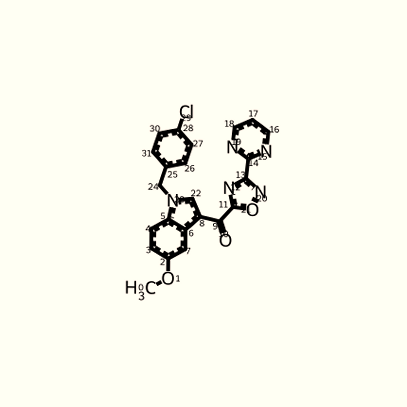 COc1ccc2c(c1)c(C(=O)c1nc(-c3ncccn3)no1)cn2Cc1ccc(Cl)cc1